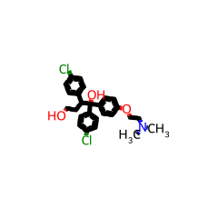 CN(C)CCOc1ccc(C(O)(c2ccc(Cl)cc2)C(CCO)c2ccc(Cl)cc2)cc1